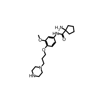 COc1cc(NC(=O)C2(N)CCCC2)ccc1OCCCN1CCNCC1